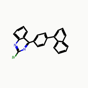 Brc1nc(-c2ccc(-c3cccc4ccccc34)cc2)c2ccccc2n1